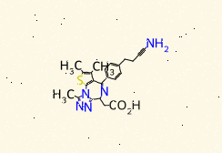 Cc1sc2c(c1C)C(c1ccc(CCC#CN)cc1)=NC(CC(=O)O)c1nnc(C)n1-2